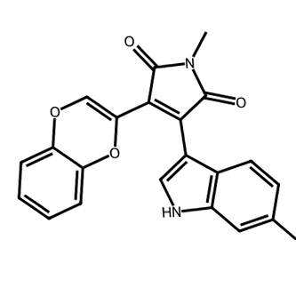 CN1C(=O)C(C2=COc3ccccc3O2)=C(c2c[nH]c3cc(F)ccc23)C1=O